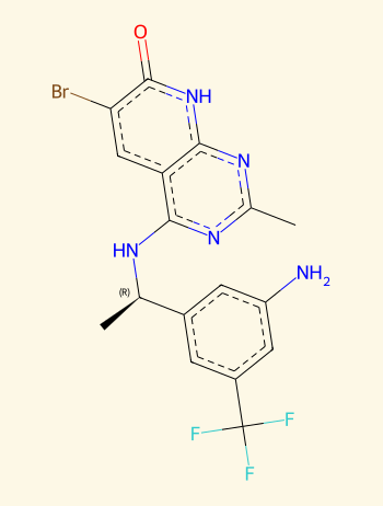 Cc1nc(N[C@H](C)c2cc(N)cc(C(F)(F)F)c2)c2cc(Br)c(=O)[nH]c2n1